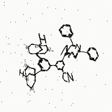 C[C@@H]1C[C@@H]2C[C@H](C)CC(c3cc(-c4cc(C#N)cc(-c5nc(-c6ccccc6)nc(-c6ccccc6)n5)c4)cc(C45C[C@H](C)C[C@H](C[C@H](C)C4)C5)c3)(C1)C2